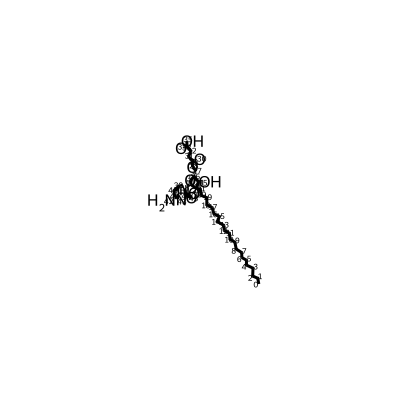 CCCCCCCCCCCCCCCCCCCCCC[C@@]1(O)[C@H](O)[C@@H](COC(=O)CCC(=O)O)O[C@H]1n1ccc(N)nc1=O